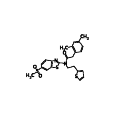 Cc1ccc(CC(=O)N(CCc2cccs2)c2nc3ccc(S(C)(=O)=O)cc3s2)c(C)c1